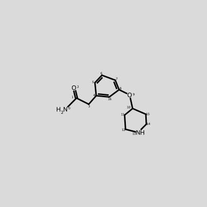 NC(=O)Cc1cccc(OC2CCNCC2)c1